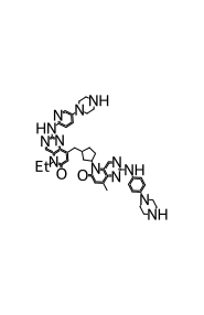 CCn1c(=O)cc(CC2CCC(n3c(=O)cc(C)c4nc(Nc5ccc(N6CCNCC6)cc5)ncc43)C2)c2nc(Nc3ccc(N4CCNCC4)cn3)ncc21